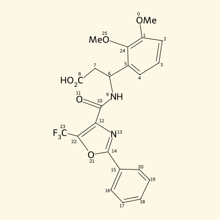 COc1cccc(C(CC(=O)O)NC(=O)c2nc(-c3ccccc3)oc2C(F)(F)F)c1OC